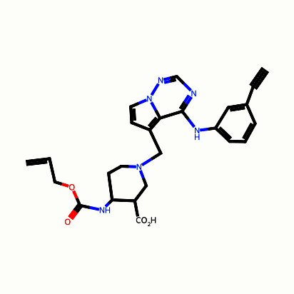 C#Cc1cccc(Nc2ncnn3ccc(CN4CCC(NC(=O)OCC=C)C(C(=O)O)C4)c23)c1